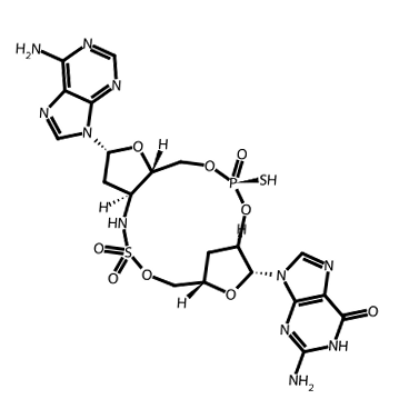 Nc1nc2c(ncn2[C@@H]2O[C@@H]3COS(=O)(=O)N[C@H]4C[C@H](n5cnc6c(N)ncnc65)O[C@@H]4CO[P@@](=O)(S)O[C@@H]2C3)c(=O)[nH]1